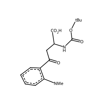 CNc1ccccc1C(=O)CC(NC(=O)OC(C)(C)C)C(=O)O